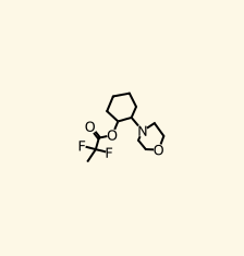 CC(F)(F)C(=O)OC1CCCCC1N1CCOCC1